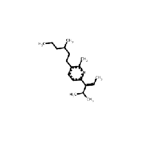 C/C=C(\c1ccc(CCC(C)CCC)c(C)n1)C(C)C